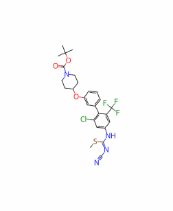 CS/C(=N\C#N)Nc1cc(Cl)c(-c2cccc(OC3CCN(C(=O)OC(C)(C)C)CC3)c2)c(C(F)(F)F)c1